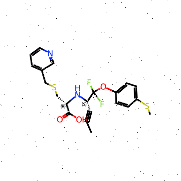 CC#C[C@H](N[C@@H](CSCc1cccnc1)C(=O)O)C(F)(F)Oc1ccc(SC)cc1